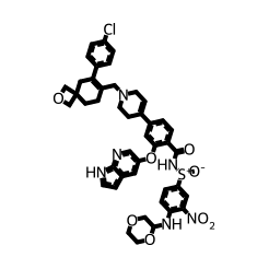 O=C(N[S+]([O-])c1ccc(NC2COCCO2)c([N+](=O)[O-])c1)c1ccc(C2=CCN(CC3=C(c4ccc(Cl)cc4)CC4(CC3)COC4)CC2)cc1Oc1cnc2[nH]ccc2c1